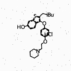 CCC(C)Cc1sc2cc(O)ccc2c1Oc1ccc(OCCN2CCCCC2)cc1.Cl